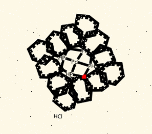 Cl.c1ccc([PH](c2ccccc2)(c2ccccc2)[Pd]([PH](c2ccccc2)(c2ccccc2)c2ccccc2)([PH](c2ccccc2)(c2ccccc2)c2ccccc2)[PH](c2ccccc2)(c2ccccc2)c2ccccc2)cc1